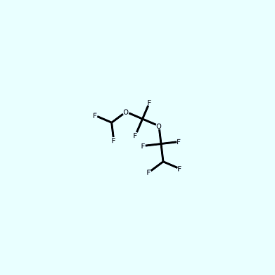 FC(F)OC(F)(F)OC(F)(F)C(F)F